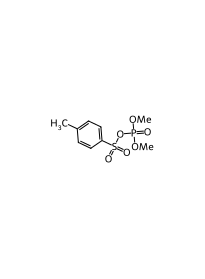 COP(=O)(OC)OS(=O)(=O)c1ccc(C)cc1